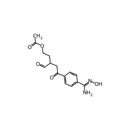 CC(=O)OCCC(C=O)CC(=O)c1ccc(C(N)=NO)cc1